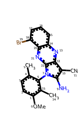 COc1ccc(C)c(-n2c(N)c(C#N)c3nc4cccc(Br)c4nc32)c1C